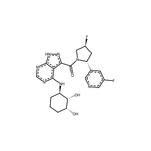 O=C(c1n[nH]c2ncnc(N[C@@H]3CCC[C@@H](O)[C@H]3O)c12)N1C[C@@H](F)C[C@@H]1c1cncc(F)c1